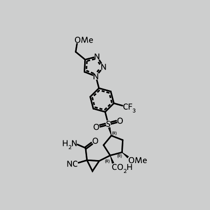 COCc1cn(-c2ccc(S(=O)(=O)[C@H]3C[C@@H](OC)[C@](C(=O)O)(C4CC4(C#N)C(N)=O)C3)c(C(F)(F)F)c2)nn1